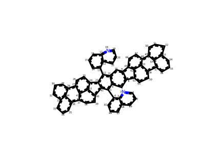 c1cnc2c(-c3c4cc5c(cc4c(-c4cccc6ncccc46)c4c6ccc7c8cccc9cccc(c%10ccc(c34)c6c7%10)c98)c3ccc4c6cccc7cccc(c8ccc5c3c48)c76)cccc2c1